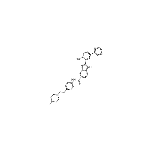 CN1CCN(CCc2ccc(NC(=O)c3ccc4[nH]c(-c5cc(-c6cnccn6)ccc5O)nc4c3)cc2)CC1